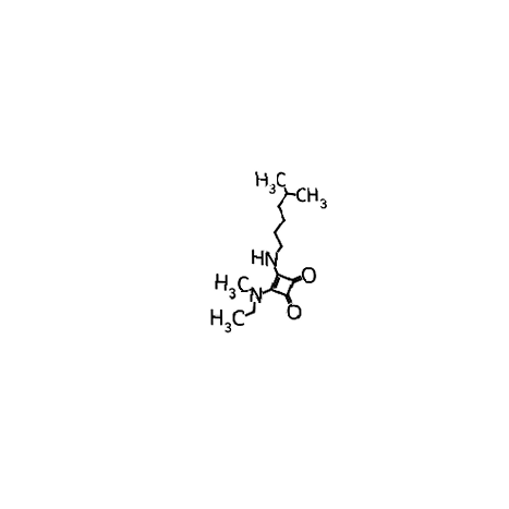 CCN(C)c1c(NCCCCC(C)C)c(=O)c1=O